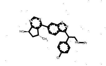 CC(C)NCC(c1ccc(Cl)cc1)c1nsc2cc(-c3ncnc4c3[C@H](C)C[C@H]4O)ccc12